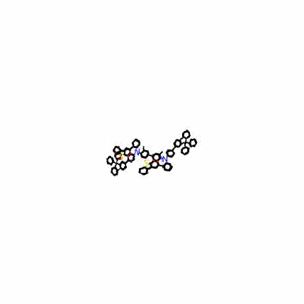 Cc1cc(-c2ccc(N(c3ccc(-c4ccc5c(c4)C(c4ccccc4)(c4ccccc4)c4ccccc4-5)cc3)c3ccccc3-c3ccc4sc5ccccc5c4c3)c(C)c2)ccc1N(c1ccc(-c2ccc3c(c2)C(c2ccccc2)(c2ccccc2)c2ccccc2-3)cc1)c1ccccc1-c1ccc2sc3ccccc3c2c1